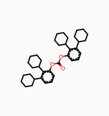 O=C(Oc1cccc(C2CCCCC2)c1C1CCCCC1)Oc1cccc(C2CCCCC2)c1C1CCCCC1